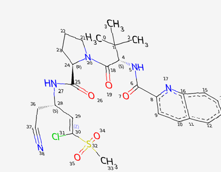 CC(C)(C)[C@H](NC(=O)c1ccc2ccccc2n1)C(=O)N1CCC[C@@H]1C(=O)N[C@H](/C=C(\Cl)S(C)(=O)=O)CC#N